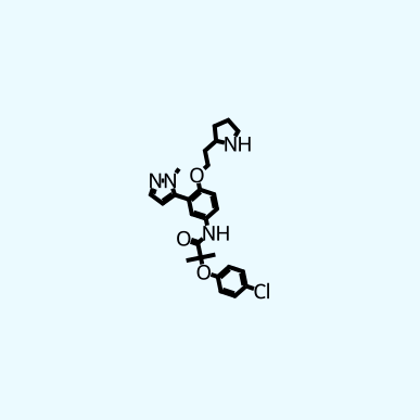 Cn1nccc1-c1cc(NC(=O)C(C)(C)Oc2ccc(Cl)cc2)ccc1OCCC1CCCN1